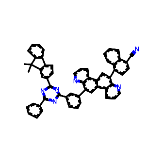 CC1(C)c2ccccc2-c2ccc(-c3nc(-c4ccccc4)nc(-c4cccc(-c5cc6c7cccnc7c(-c7ccc(C#N)c8ccccc78)cc6c6cccnc56)c4)n3)cc21